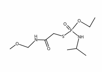 CCOP(=O)(NC(C)C)SCC(=O)NCOC